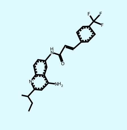 CCC(C)c1cc(N)c2cc(NC(=O)C=Cc3ccc(C(F)(F)F)cc3)ccc2n1